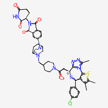 Cc1sc2c(c1C)C(c1ccc(Cl)cc1)=N[C@@H](CC(=O)N1CCC(CN3CC4CCC3CN4c3ccc4c(c3)C(=O)N(C3CCC(=O)NC3=O)C4=O)CC1)c1nnc(C)n1-2